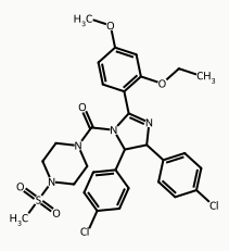 CCOc1cc(OC)ccc1C1=NC(c2ccc(Cl)cc2)C(c2ccc(Cl)cc2)N1C(=O)N1CCN(S(C)(=O)=O)CC1